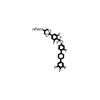 CCCCCC1COC(c2cc(F)c(C(F)(F)Oc3ccc(C4CCC(c5cc(F)c(F)c(F)c5)CC4)c(F)c3)c(F)c2)OC1